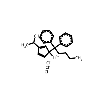 CCCCC(c1ccccc1)(c1ccccc1)[C]1([Ti+3])C=CC(C(C)C)=C1.[Cl-].[Cl-].[Cl-]